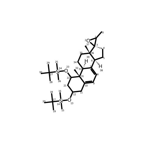 CC1O[C@@]12CC[C@H]1C3=CC=C4CC(O[Si](C)(C)C(C)(C)C)CC(O[Si](C)(C)C(C)(C)C)[C@]4(C)[C@H]3CC[C@@]12C